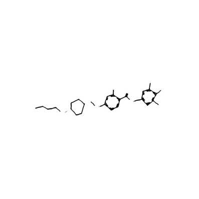 CCCCO[C@H]1CC[C@H](COc2ccc(C(=O)Oc3cc(F)c(F)c(F)c3)c(F)c2)CC1